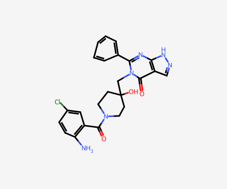 Nc1ccc(Cl)cc1C(=O)N1CCC(O)(Cn2c(-c3ccccc3)nc3[nH]ncc3c2=O)CC1